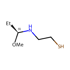 CC[C@@H](NCCS)OC